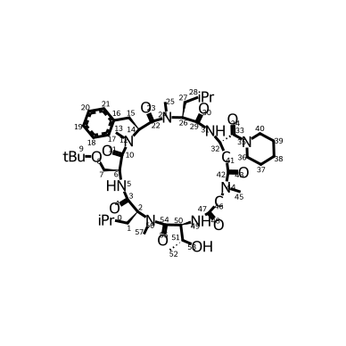 CC(C)C[C@H]1C(=O)N[C@@H](COC(C)(C)C)C(=O)N(C)[C@@H](Cc2ccccc2)C(=O)N(C)[C@@H](CC(C)C)C(=O)N[C@H](C(=O)N2CCCCC2)CC(=O)N(C)CC(=O)N[C@@H]([C@@H](C)O)C(=O)N1C